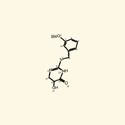 COc1cccc(CSC2=NCC(O)C(=O)N2)c1